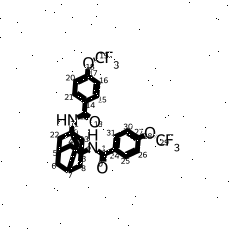 O=C(NC12CC3CC(C1)CC(NC(=O)c1ccc(OC(F)(F)F)cc1)(C3)C2)c1ccc(OC(F)(F)F)cc1